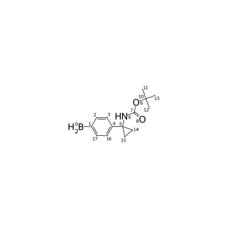 Bc1ccc(C2(NC(=O)OC(C)(C)C)CC2)cc1